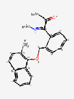 CNC(=O)C(=NOC)c1ccccc1COc1c(C)ccc2ccccc12